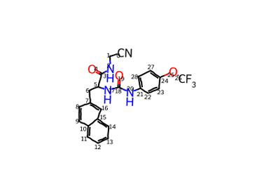 N#CCNC(=O)C(Cc1ccc2ccccc2c1)NC(=O)Nc1ccc(OC(F)(F)F)cc1